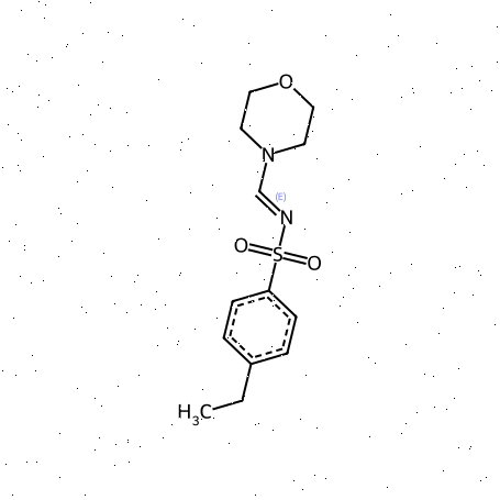 CCc1ccc(S(=O)(=O)/N=C/N2CCOCC2)cc1